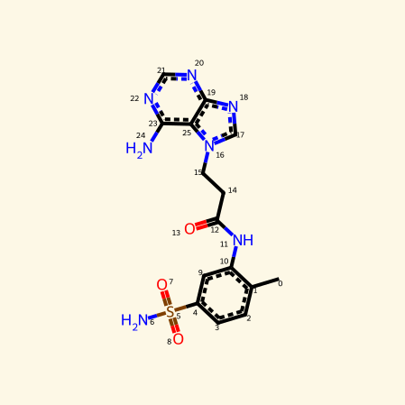 Cc1ccc(S(N)(=O)=O)cc1NC(=O)CCn1cnc2ncnc(N)c21